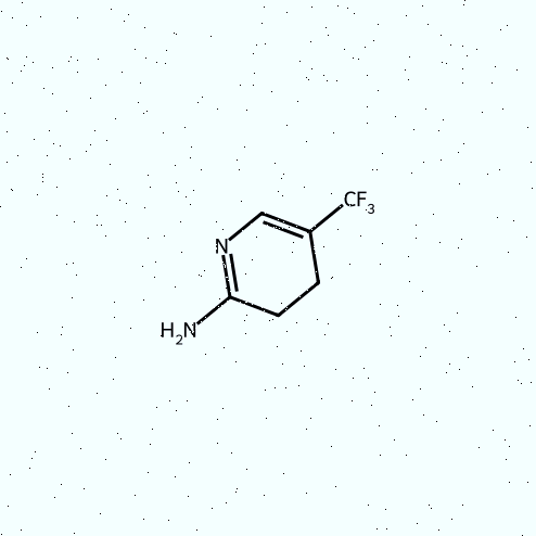 NC1=NC=C(C(F)(F)F)CC1